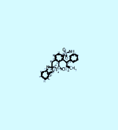 C=CC(c1ccccc1)c1c(S(N)(=O)=O)ccc(CC2(C)N=c3ccccc3=N2)c1OC